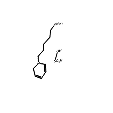 CCCCCCCCCCCCCCN1C=CC=CC1.O=S(=O)(O)O